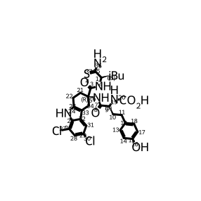 CC[C@H](C)C(NC(=O)[C@@]1(NC(=O)[C@H](CCc2ccc(O)cc2)NC(=O)O)CCc2[nH]c3c(Cl)cc(Cl)cc3c2C1)C(N)=S